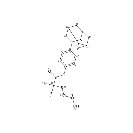 O=C(Oc1ccc(C23CC4CC(CC(C4)C2)C3)cc1)C(F)(F)SOOO